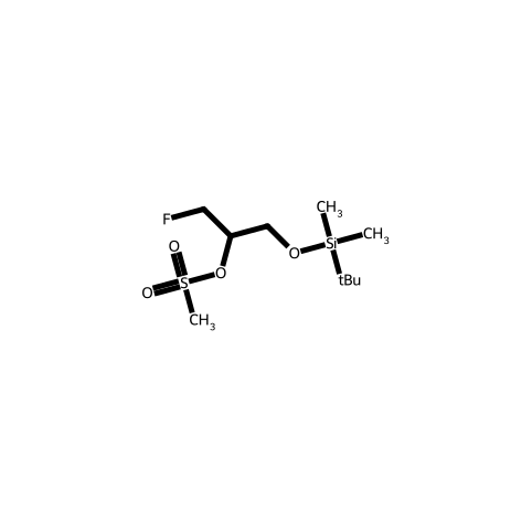 CC(C)(C)[Si](C)(C)OCC(CF)OS(C)(=O)=O